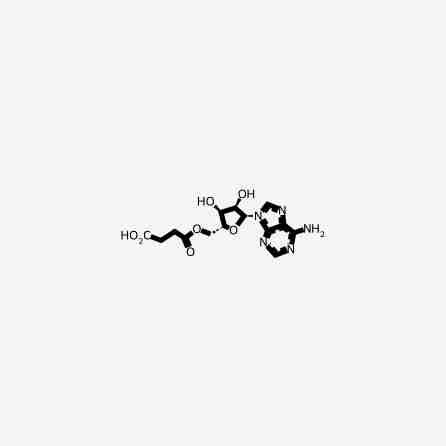 Nc1ncnc2c1ncn2[C@@H]1O[C@H](COC(=O)CCC(=O)O)[C@@H](O)[C@H]1O